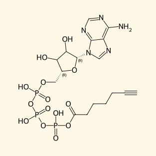 C#CCCCCC(=O)OP(=O)(O)OP(=O)(O)OP(=O)(O)OC[C@H]1O[C@@H](n2cnc3c(N)ncnc32)C(O)C1O